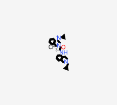 CN(CCN(Cc1ccccc1C(F)(F)F)C(=O)CNc1cccc2c1CCN(CC1CC1)C2)C1CC1